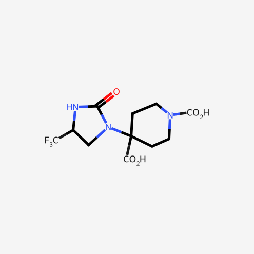 O=C(O)N1CCC(C(=O)O)(N2CC(C(F)(F)F)NC2=O)CC1